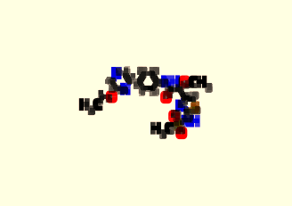 CCOc1cncc(-c2ccc(NC(=O)C(OC)c3csc(NS(C)(=O)=O)n3)cc2)n1